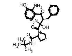 CC(C)(C)NC(=O)C1CSCN1C(=O)[C@@](N)(O)[C@H](Cc1ccccc1)C(=O)c1cccc(O)c1N